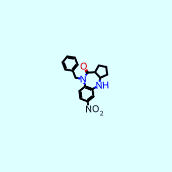 O=C1C2CCCC2Nc2cc([N+](=O)[O-])ccc2N1Cc1ccccc1